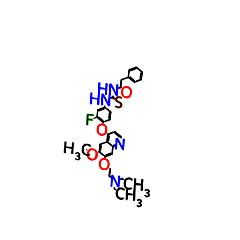 CCN(CC)CCOc1cc2nccc(Oc3ccc(NC(=S)NC(=O)Cc4ccccc4)cc3F)c2cc1OC